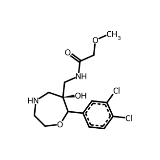 COCC(=O)NC[C@@]1(O)CNCCOC1c1ccc(Cl)c(Cl)c1